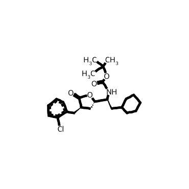 CC(C)(C)OC(=O)N[C@@H](CC1CCCCC1)[C@@H]1C[C@@H](Cc2ccccc2Cl)C(=O)O1